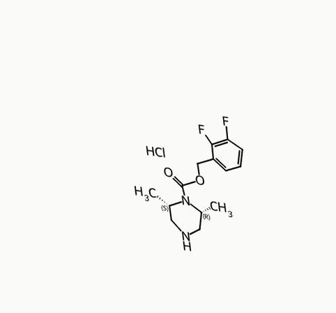 C[C@@H]1CNC[C@H](C)N1C(=O)OCc1cccc(F)c1F.Cl